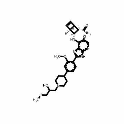 COCC(O)CN1CCC(c2ccc(-c3nc4c(N[C@@H]5[C@H]6C=CC6[C@@H]5C(N)=O)c(Cl)cnc4[nH]3)c(OC)c2)CC1